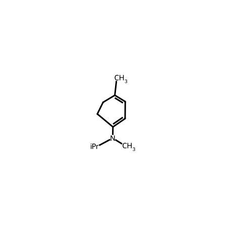 CC1=CC=C(N(C)C(C)C)CC1